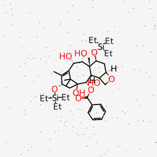 CC[Si](CC)(CC)O[C@H]1C[C@@]2(O)[C@@H](OC(=O)c3ccccc3)[C@@H]3[C@]4(O)CO[C@@H]4C[C@H](O[Si](CC)(CC)CC)[C@@]3(C)[C@@H](O)[C@@H](O)C(=C1C)C2(C)C